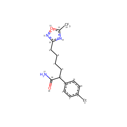 CCc1ccc(C(CCCCc2noc(C(F)(F)F)n2)C(N)=O)cc1